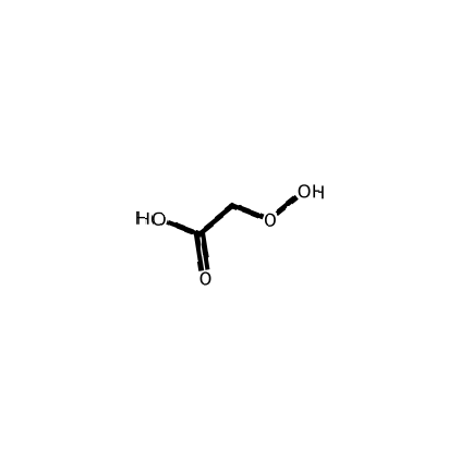 O=C(O)COO